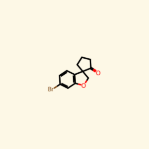 O=C1CCCC12COc1cc(Br)ccc12